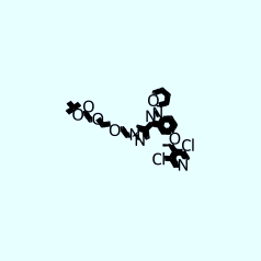 C[C@@H](Oc1ccc2c(c1)c(-c1cnn(CCOCCOCC(=O)OC(C)(C)C)c1)nn2C1CCCCO1)c1c(Cl)cncc1Cl